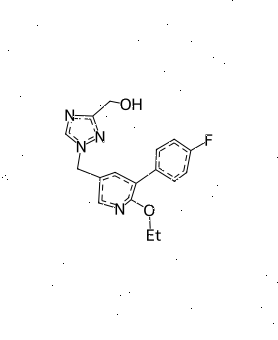 CCOc1ncc(Cn2cnc(CO)n2)cc1-c1ccc(F)cc1